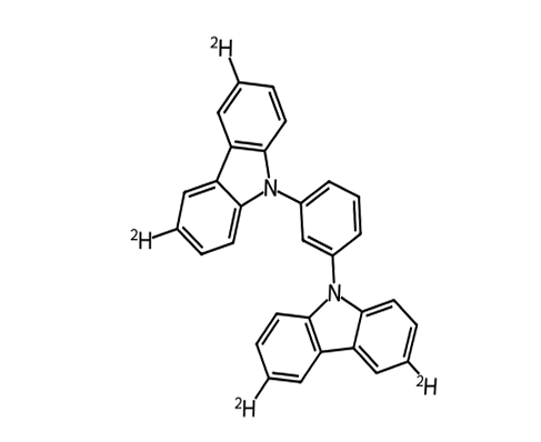 [2H]c1ccc2c(c1)c1cc([2H])ccc1n2-c1cccc(-n2c3ccc([2H])cc3c3cc([2H])ccc32)c1